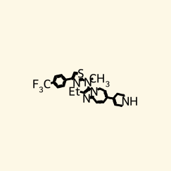 CCc1nc2n(c1N(C)c1nc(-c3ccc(C(F)(F)F)cc3)cs1)CC=C(C1=CCNCC1)C=C2